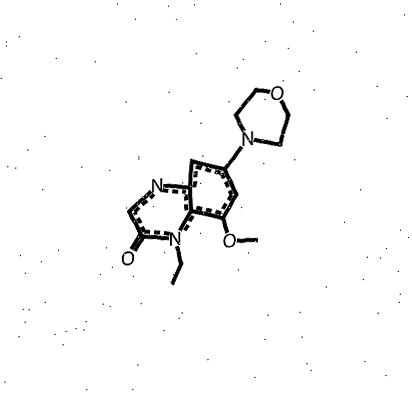 CCn1c(=O)cnc2cc(N3CCOCC3)cc(OC)c21